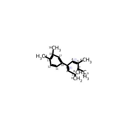 C=C/C=C(\C=C(\C)C(=C)C)c1ccc(C)c(C)c1